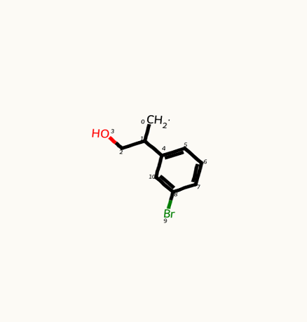 [CH2]C(CO)c1cccc(Br)c1